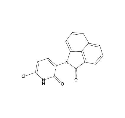 O=C1c2cccc3cccc(c23)N1c1ccc(Cl)[nH]c1=O